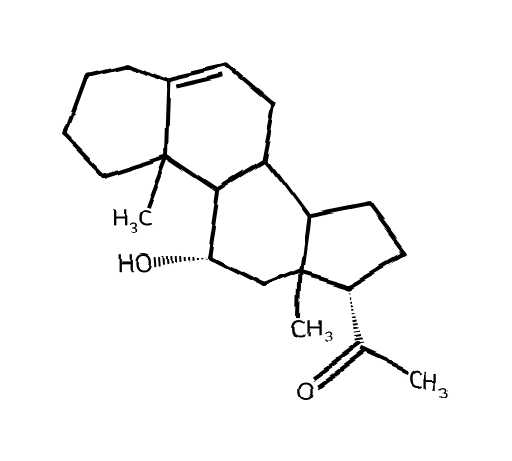 CC(=O)[C@H]1CCC2C3CC=C4CCCCC4(C)C3[C@@H](O)CC21C